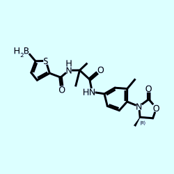 Bc1ccc(C(=O)NC(C)(C)C(=O)Nc2ccc(N3C(=O)OC[C@H]3C)c(C)c2)s1